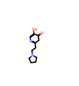 O=C1CC(CCN2CCCC2)=NC=C1O